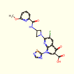 COc1cccc(C(=O)NC2CN(c3nc4c(cc3F)c(=O)c(C(=O)O)cn4-c3ncns3)C2)n1